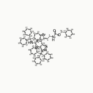 O=C(NCC=C(Br)c1cc(NC(c2ccccc2)(c2ccccc2)c2ccccc2)nc2c1nnn2C(c1ccccc1)(c1ccccc1)c1ccccc1)OCc1ccccc1